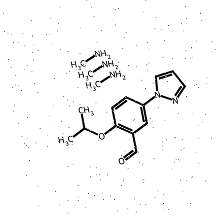 CC(C)Oc1ccc(-n2cccn2)cc1C=O.CN.CN.CN